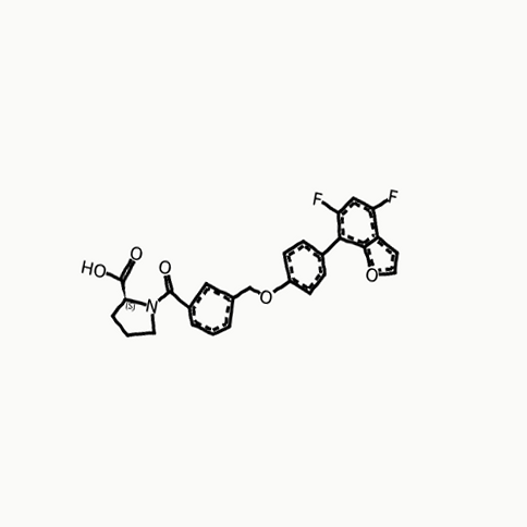 O=C(O)[C@@H]1CCCN1C(=O)c1cccc(COc2ccc(-c3c(F)cc(F)c4ccoc34)cc2)c1